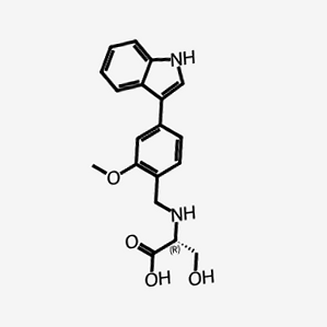 COc1cc(-c2c[nH]c3ccccc23)ccc1CN[C@H](CO)C(=O)O